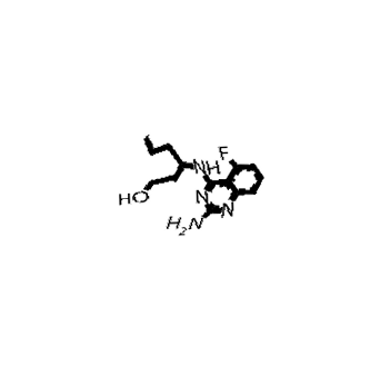 CCCC(CCO)Nc1nc(N)nc2cccc(F)c12